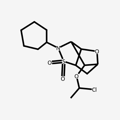 CC(Cl)OC1C2CC3C(O2)C1N(C1CCCCC1)S3(=O)=O